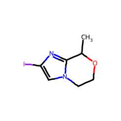 CC1OCCn2cc(I)nc21